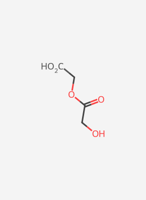 O=C(O)COC(=O)CO